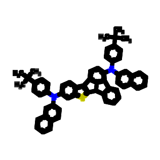 CC(C)(C)c1ccc(N(c2ccc3ccccc3c2)c2ccc3c4c(sc3c2)C2c3ccccc3-c3c(N(c5ccc(C(C)(C)C)cc5)c5ccc6ccccc6c5)ccc-4c32)cc1